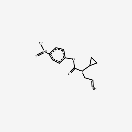 N=CCN(C(=O)Oc1ccc([N+](=O)[O-])cc1)C1CC1